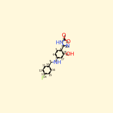 O=c1[nH]c(-c2ccc(NCc3ccc(F)cc3)cc2O)no1